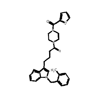 Cc1ccccc1Cn1cc(CCCC(=O)N2CCN(C(=O)c3ccco3)CC2)c2ccccc21